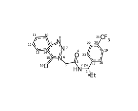 CC[C@H](NC(=O)Cn1nnc2ccccc2c1=O)c1ccc(C(F)(F)F)cc1